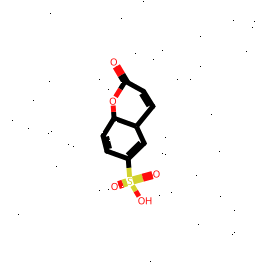 O=C1C=CC2C=C(S(=O)(=O)O)C=CC2O1